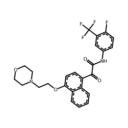 O=C(Nc1ccc(F)c(C(F)(F)F)c1)C(=O)c1ccc(OCCN2CCOCC2)c2ccccc12